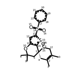 CC1=C(C)C[C@@]2(CC(C)(C)Oc3cc(S(=O)(=O)c4ccccc4)sc32)[S@+]([O-])C1